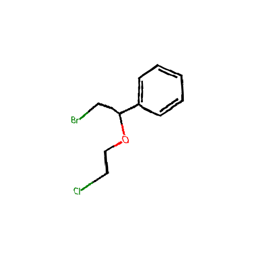 ClCCOC(CBr)c1ccccc1